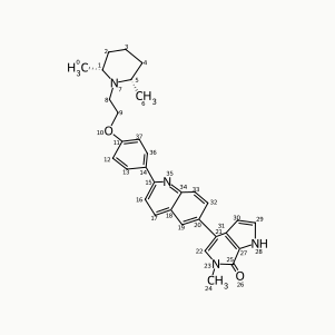 C[C@@H]1CCC[C@H](C)N1CCOc1ccc(-c2ccc3cc(-c4cn(C)c(=O)c5[nH]ccc45)ccc3n2)cc1